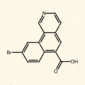 O=C(O)c1cc2ccncc2c2cc(Br)ccc12